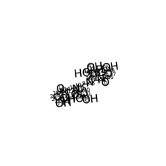 O=C(NCCCN(CCCCN(CCCNC(=O)c1cccc(O)c1O)C(=O)c1cccc(O)c1O)Cc1cccc(O)c1O)c1cccc(O)c1O